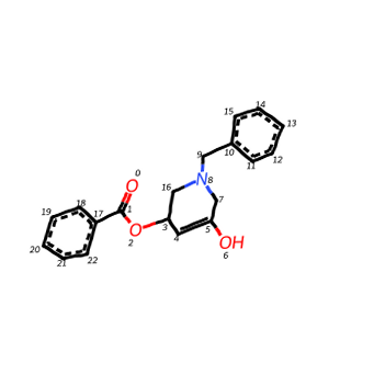 O=C(OC1C=C(O)CN(Cc2ccccc2)C1)c1ccccc1